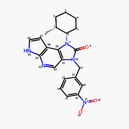 C[C@@H]1CCCC[C@@H]1n1c(=O)n(Cc2cccc([N+](=O)[O-])c2)c2cnc3[nH]ccc3c21